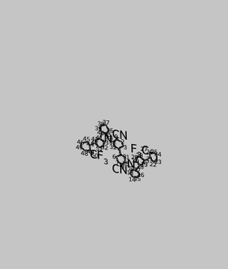 N#Cc1ccc(-c2ccc(C#N)c(-n3c4ccccc4c4cc(-c5ccccc5C(F)(F)F)ccc43)c2)cc1-n1c2ccccc2c2cc(-c3ccccc3C(F)(F)F)ccc21